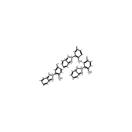 Cc1ccc(O)c(-n2nc3ccccc3n2)c1.Cc1ccc(O)c(-n2nc3ccccc3n2)c1.Cc1ccc(O)c(-n2nc3ccccc3n2)c1